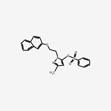 Cc1cc(OS(=O)(=O)c2ccccc2)n(CCOc2ccc3ccccc3c2)n1